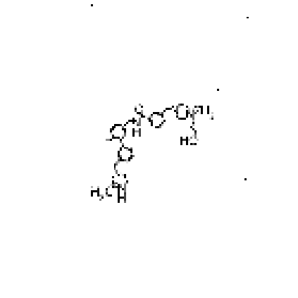 C[C@H]1CN(Cc2cccc(-c3cc(CNC(=O)c4cccc(CN5CC[N+](C)(CCCO)CC5)c4)ccc3F)c2)CCN1